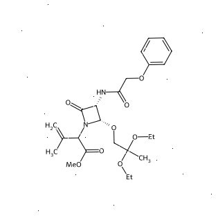 C=C(C)C(C(=O)OC)N1C(=O)[C@H](NC(=O)COc2ccccc2)[C@@H]1OCC(C)(OCC)OCC